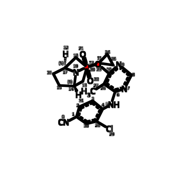 [C-]#[N+]c1ccc(Nc2ncnc(OC3C[C@@H]4CC[C@@H](C3)N4S(=O)(=O)C3CC3)c2C)c(Cl)c1